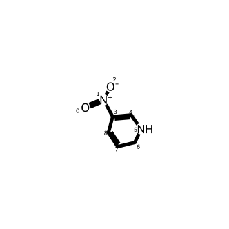 O=[N+]([O-])C1=[C]NCC=C1